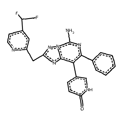 Nc1nc(-c2ccccc2)c(-c2ccc(=O)[nH]c2)c2nc(Cc3cc(C(F)F)ccn3)nn12